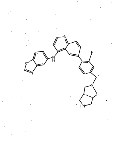 Fc1cc(CN2CC3CNCC3C2)ccc1-c1ccc2nccc(Nc3ccc4scnc4c3)c2c1